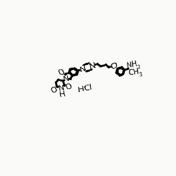 C[C@@H](N)c1cccc(OCCCCN2CCN(c3ccc4c(c3)CN(C3CCC(=O)NC3=O)C4=O)CC2)c1.Cl